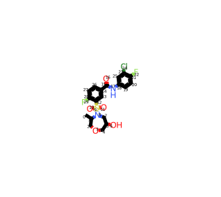 CC1COCC(O)CN1S(=O)(=O)c1cc(C(=O)Nc2ccc(F)c(Cl)c2)ccc1F